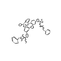 O=C1OC2(c3ccc(OC(=S)SSCc4ccccc4)cc3Oc3cc(OC(=S)SSCc4ccccc4)ccc32)c2ccccc21